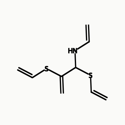 C=CNC(SC=C)C(=C)SC=C